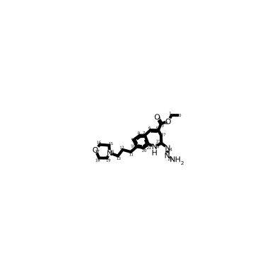 CCOC(=O)C1=Cc2ccc(CCCN3CCOCC3)cc2NC(N=NN)C1